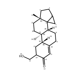 C[C@@]12CCC3CC31[C@@H]1CCC3=CC(=O)C(CO)C[C@@H]3[C@H]1CC2